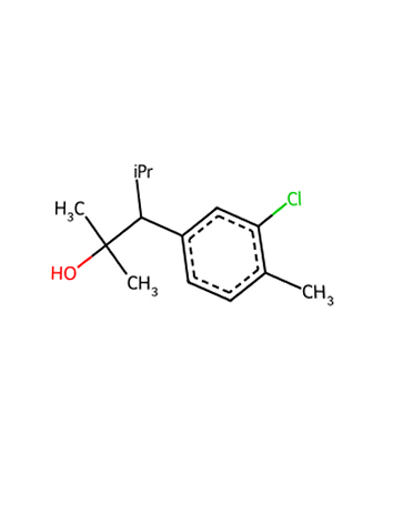 Cc1ccc(C(C(C)C)C(C)(C)O)cc1Cl